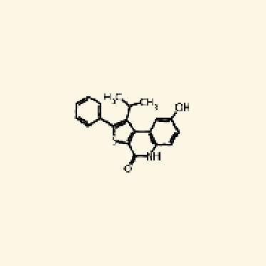 CC(C)c1c(-c2ccccc2)sc2c(=O)[nH]c3ccc(O)cc3c12